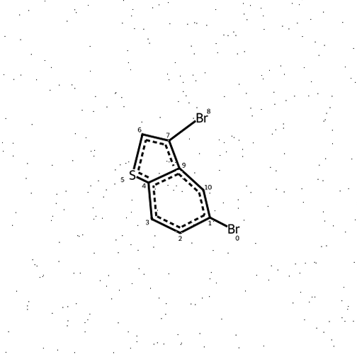 Brc1ccc2scc(Br)c2c1